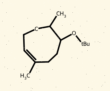 CC1=CCCC(C)C(OC(C)(C)C)CC1